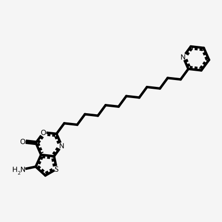 Nc1csc2nc(CCCCCCCCCCCCc3ccccn3)oc(=O)c12